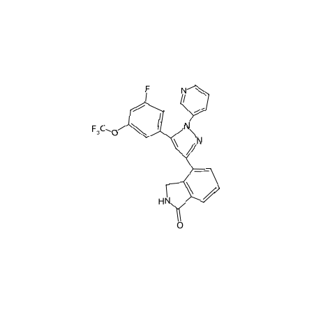 O=C1NCc2c1cccc2-c1cc(-c2cc(F)cc(OC(F)(F)F)c2)n(-c2cccnc2)n1